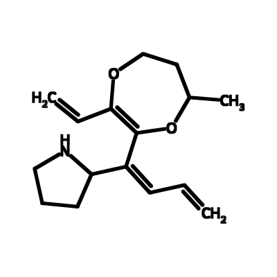 C=C/C=C(\C1=C(C=C)OCCC(C)O1)C1CCCN1